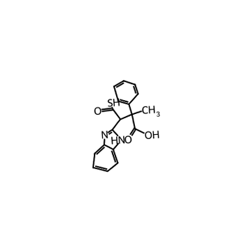 CC(C(=O)O)(c1ccccc1)C(C(=O)S)c1nc2ccccc2[nH]1